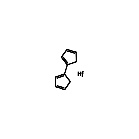 C1=CCC(C2=CC=CC2)=C1.[Hf]